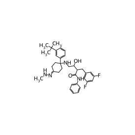 CNN=C1CCC(NCC(O)C(Cc2cc(F)cc(F)c2)C(=O)Nc2ccccc2)(c2cccc(C(C)(C)C)c2)CC1